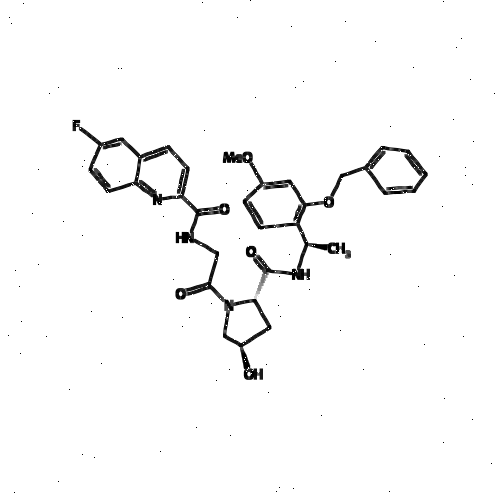 COc1ccc([C@@H](C)NC(=O)[C@@H]2C[C@@H](O)CN2C(=O)CNC(=O)c2ccc3cc(F)ccc3n2)c(OCc2ccccc2)c1